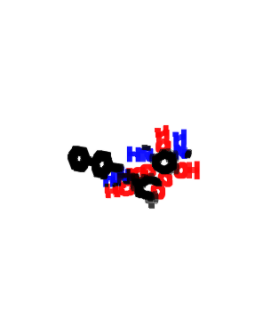 CN[C@@H]1[C@H](O)[C@H](NC)C2O[C@]3(O)C(OC2[C@H]1O)O[C@H](C)C[C@@]3(O)CNCc1ccc(-c2ccccc2)cc1